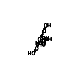 OCCO.OCCO.OCCOCCCCOCCCCOCCO